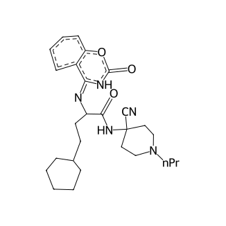 CCCN1CCC(C#N)(NC(=O)C(CCC2CCCCC2)/N=c2\[nH]c(=O)oc3ccccc23)CC1